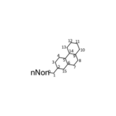 CCCCCCCCCCC1CCC2C(CCC3CCCCC32)C1